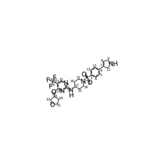 O=S(=O)(c1ccc(C2=CCNC2)cc1)N1CCC(Nc2ncc(C(F)(F)F)c(O[C@H]3CCOC3)n2)CC1